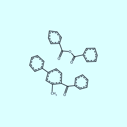 Cc1cc(-c2ccccc2)ccc1C(=O)c1ccccc1.O=C(OC(=O)c1ccccc1)c1ccccc1